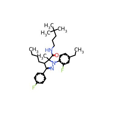 CCCCC1C(c2ccc(F)cc2)=NN(c2ccc(CC)cc2F)C1(C)C(=O)NCCCC(C)(C)C